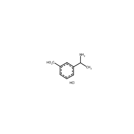 CC(N)c1cccc(C(=O)O)c1.Cl